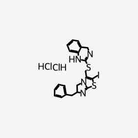 Cl.Cl.IC1=C(CSC2=NCc3ccccc3N2)N2CC(Cc3ccccc3)N=C2S1